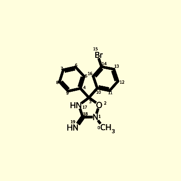 CN1OC(c2ccccc2)(c2cccc(Br)c2)NC1=N